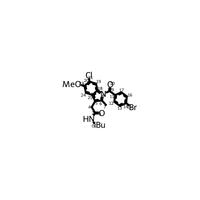 CCC(C)NC(=O)Cc1c(C)n(C(=O)c2ccc(Br)cc2)c2cc(Cl)c(OC)cc12